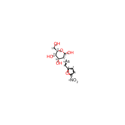 O=[N+]([O-])c1ccc(/C=[As]/[C@H]2C(O)O[C@H](CO)[C@@H](O)[C@@H]2O)o1